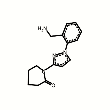 NCc1ccccc1-n1ccc(N2CCCCC2=O)n1